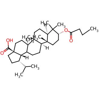 CCCC(=O)O[C@@H]1CC[C@]2(C)[C@H]3CCC4[C@@H]5[C@H](C(C)C)CC[C@]5(C(=O)O)CC[C@@]4(C)[C@]3(C)CC[C@H]2C1(C)C